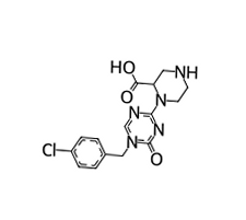 O=C(O)C1CNCCN1c1ncn(Cc2ccc(Cl)cc2)c(=O)n1